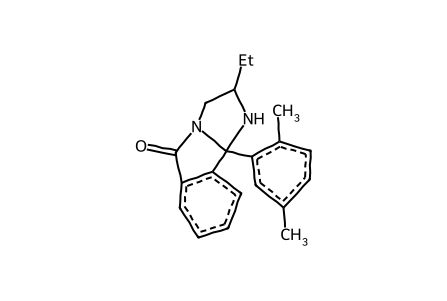 CCC1CN2C(=O)c3ccccc3C2(c2cc(C)ccc2C)N1